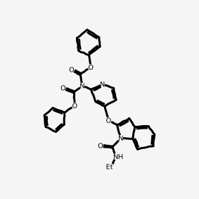 CCNC(=O)n1c(Oc2ccnc(N(C(=O)Oc3ccccc3)C(=O)Oc3ccccc3)c2)cc2ccccc21